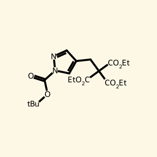 CCOC(=O)C(Cc1cnn(C(=O)OC(C)(C)C)c1)(C(=O)OCC)C(=O)OCC